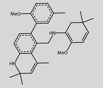 COC1=C(NCc2c(-c3cc(C)ccc3OC)ccc3c2C(C)=CC(C)(C)N3)CC(C)(C)C=C1